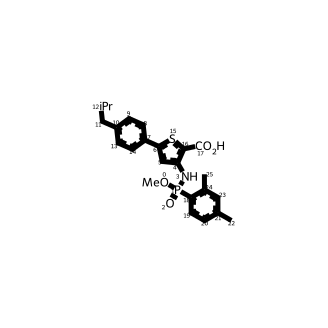 COP(=O)(Nc1cc(-c2ccc(CC(C)C)cc2)sc1C(=O)O)c1ccc(C)cc1C